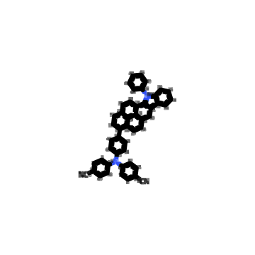 N#Cc1ccc(N(c2ccc(C#N)cc2)c2ccc(-c3ccc4ccc5c6c(ccc3c46)cc3c4ccccc4n(-c4ccccc4)c35)cc2)cc1